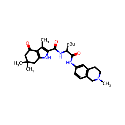 CCCCC(NC(=O)c1[nH]c2c(c1C)C(=O)CC(C)(C)C2)C(=O)Nc1ccc2c(c1)CCN(C)C2